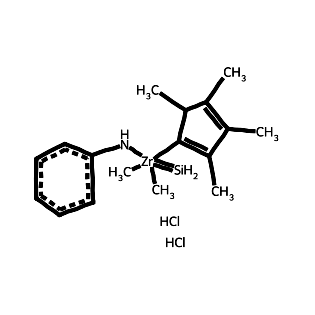 CC1=C(C)C(C)[C]([Zr]([CH3])([CH3])(=[SiH2])[NH]c2ccccc2)=C1C.Cl.Cl